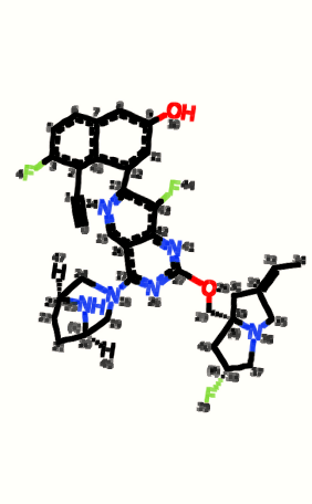 C#Cc1c(F)ccc2cc(O)cc(-c3ncc4c(N5C[C@H]6CC[C@@H](C5)N6)nc(OC[C@]56CC(=CC)CN5C[C@H](F)C6)nc4c3F)c12